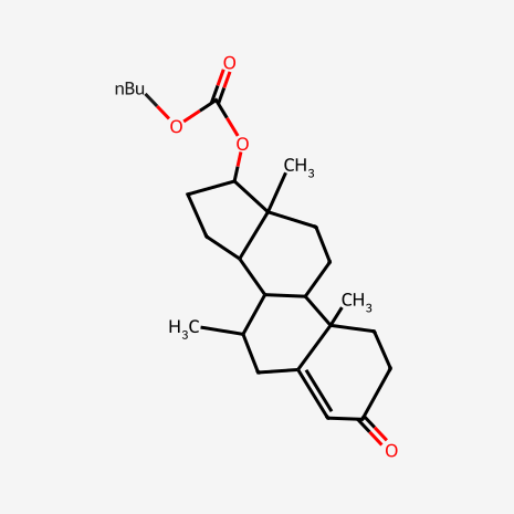 CCCCOC(=O)OC1CCC2C3C(C)CC4=CC(=O)CCC4(C)C3CCC12C